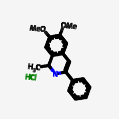 COc1cc2c(cc1OC)C(C)[N]C(c1ccccc1)=C2.Cl